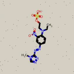 CCN(CCOS(=O)(=O)O)c1ccc(N=Nc2nncn2C)cc1[N+](=O)[O-]